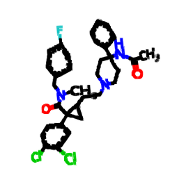 CC(=O)NC1(c2ccccc2)CCN(CCC2CC2(C(=O)N(C)Cc2ccc(F)cc2)c2ccc(Cl)c(Cl)c2)CC1